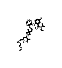 CCN(C(=O)c1cc(F)ccc1Oc1nncnc1N1CCC2(C1)CN(C(C[C@@H](O)CN(C)CCOC)C(C)C)C2)C(C)C